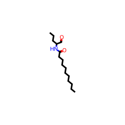 CCCCCCCCCCC(=O)NC(C=O)CCC